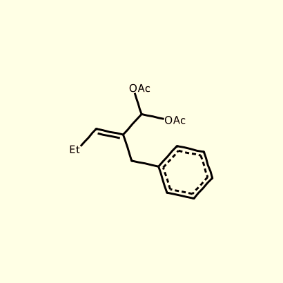 CC/C=C(\Cc1ccccc1)C(OC(C)=O)OC(C)=O